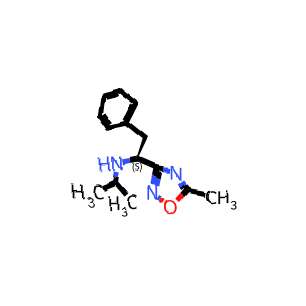 Cc1nc([C@H](Cc2ccccc2)NC(C)C)no1